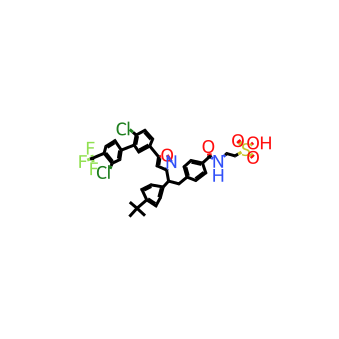 CC(C)(C)c1ccc(C(Cc2ccc(C(=O)NCCS(=O)(=O)O)cc2)c2cc(-c3ccc(Cl)c(-c4ccc(C(F)(F)F)c(Cl)c4)c3)on2)cc1